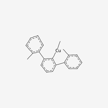 [CH3][Cu][c]1c(-c2ccccc2C)cccc1-c1ccccc1C